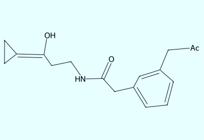 CC(=O)Cc1cccc(CC(=O)NCCC(O)=C2CC2)c1